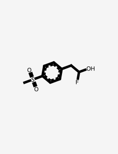 CS(=O)(=O)c1ccc([CH]C(O)F)cc1